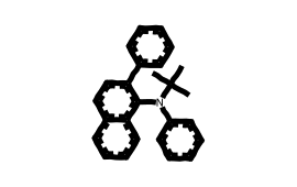 CC(C)(C)N(c1ccccc1)c1c(-c2ccccc2)ccc2ccccc12